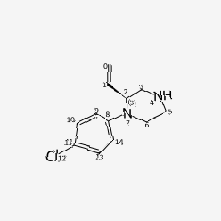 C=C[C@H]1CNCCN1c1ccc(Cl)cc1